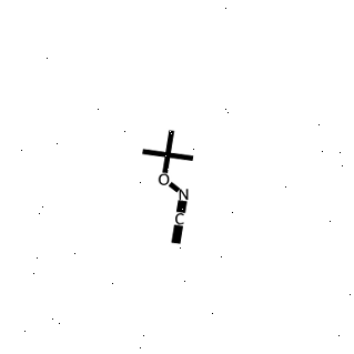 C=C=NOC(C)(C)C